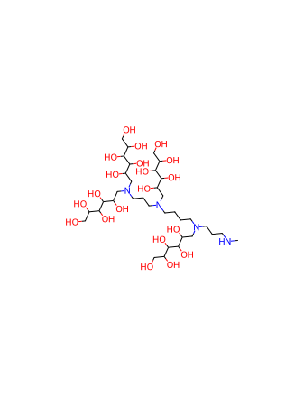 CNCCCN(CCCCN(CCCN(CC(O)C(O)C(O)C(O)CO)CC(O)C(O)C(O)C(O)CO)CC(O)C(O)C(O)C(O)CO)CC(O)C(O)C(O)C(O)CO